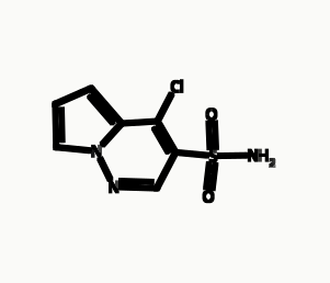 NS(=O)(=O)c1cnn2cccc2c1Cl